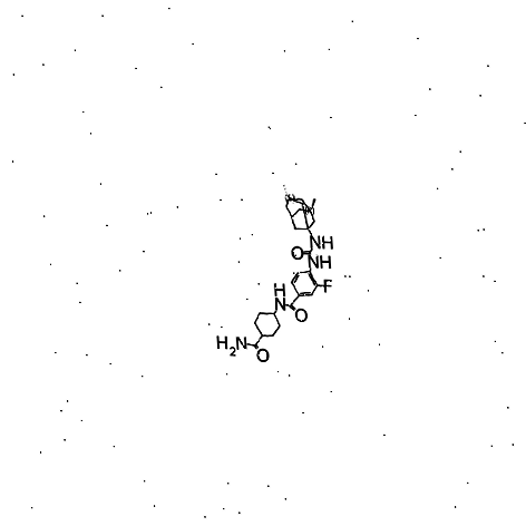 C[C@]12CC3CC(NC(=O)Nc4ccc(C(=O)NC5CCC(C(N)=O)CC5)cc4F)(C1)C[C@@](C)(C3)C2